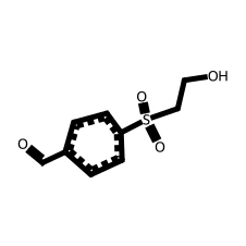 O=[C]c1ccc(S(=O)(=O)CCO)cc1